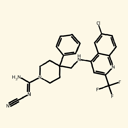 N#CN=C(N)N1CCC(CNc2cc(C(F)(F)F)nc3ccc(Cl)cc23)(c2ccccc2)CC1